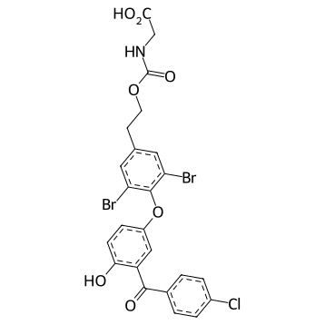 O=C(O)CNC(=O)OCCc1cc(Br)c(Oc2ccc(O)c(C(=O)c3ccc(Cl)cc3)c2)c(Br)c1